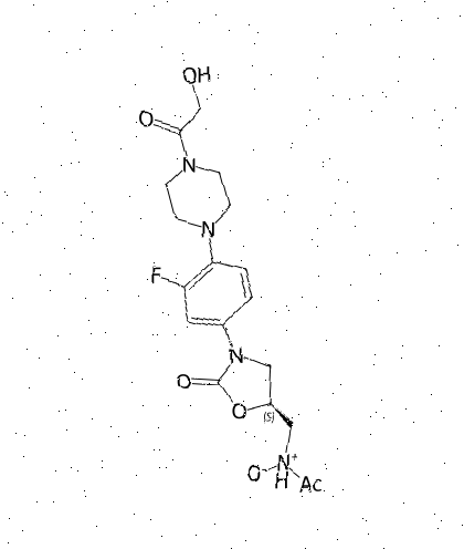 CC(=O)[NH+]([O-])C[C@@H]1CN(c2ccc(N3CCN(C(=O)CO)CC3)c(F)c2)C(=O)O1